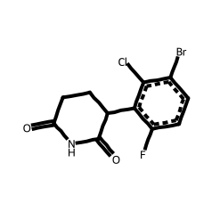 O=C1CCC(c2c(F)ccc(Br)c2Cl)C(=O)N1